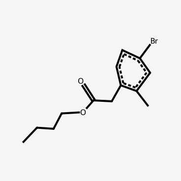 CCCCOC(=O)Cc1ccc(Br)cc1C